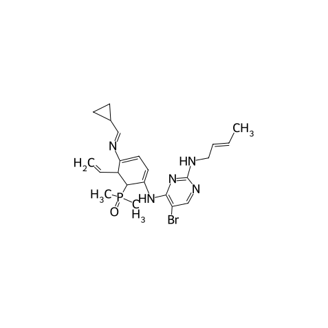 C=CC1C(/N=C/C2CC2)=CC=C(Nc2nc(NC/C=C/C)ncc2Br)C1P(C)(C)=O